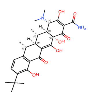 C[C@H]1[C@H]2C(=C(O)[C@]3(O)C(=O)C(C(N)=O)=C(O)[C@@H](N(C)C)[C@H]13)C(=O)c1c(ccc(C(C)(C)C)c1O)[C@@H]2C